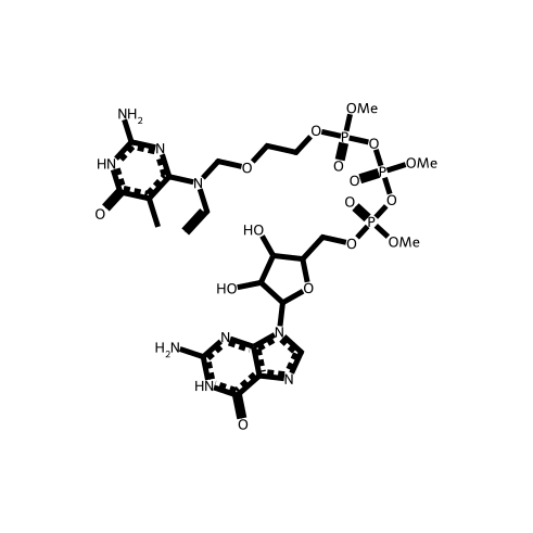 C=CN(COCCOP(=O)(OC)OP(=O)(OC)OP(=O)(OC)OCC1OC(n2cnc3c(=O)[nH]c(N)nc32)C(O)C1O)c1nc(N)[nH]c(=O)c1C